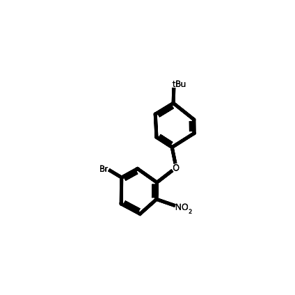 CC(C)(C)c1ccc(Oc2cc(Br)ccc2[N+](=O)[O-])cc1